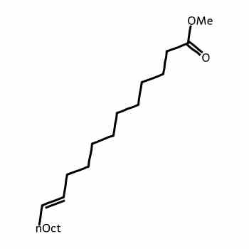 CCCCCCCCC=CCCCCCCCCCC(=O)OC